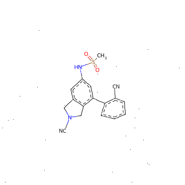 CS(=O)(=O)Nc1cc2c(c(-c3ccccc3C#N)c1)CN(C#N)C2